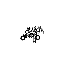 CC(C)(C)OC(=O)N[C@H]1CCCCC1Nc1ccc(C(=O)O)c(NCc2ccccc2)n1